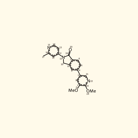 COc1cc(-c2ccc3c(c2)CN(c2ccnc(C)c2)C3=O)cnc1OC